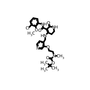 COc1c(Cl)cccc1NC(=O)C1=C(NCc2ccncc2OCCN(C)C(=O)OC(C)(C)C)CCNC1=O